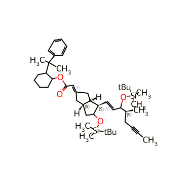 CC#CC[C@H](C)C(/C=C/[C@H]1C(O[Si](C)(C)C(C)(C)C)C[C@@H]2C/C(=C\C(=O)OC3CCCCC3C(C)(C)c3ccccc3)C[C@@H]21)O[Si](C)(C)C(C)(C)C